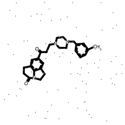 Cc1cccc(CN2CCN(CCC(=O)c3cc4c5c(c3)CCN5C(=O)CC4)CC2)c1